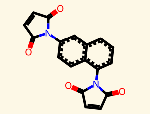 O=C1C=CC(=O)N1c1ccc2c(N3C(=O)C=CC3=O)cccc2c1